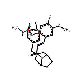 CNC(=O)Nc1cc(Cl)c(OC)cc1/C=C/C(=O)N1C2CCC1CN(Cc1ccc(F)cc1)C2